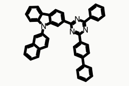 c1ccc(-c2ccc(-c3nc(-c4ccccc4)nc(-c4ccc5c6ccccc6n(-c6ccc7ccccc7c6)c5c4)n3)cc2)cc1